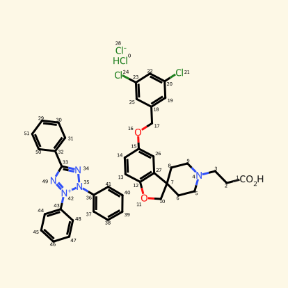 Cl.O=C(O)CCN1CCC2(CC1)COc1ccc(OCc3cc(Cl)cc(Cl)c3)cc12.[Cl-].c1ccc(-c2nn(-c3ccccc3)[n+](-c3ccccc3)n2)cc1